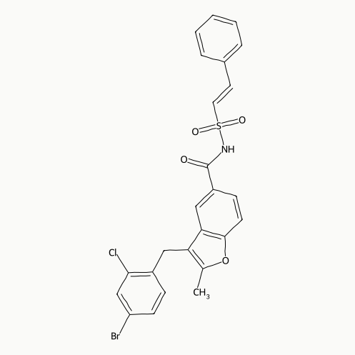 Cc1oc2ccc(C(=O)NS(=O)(=O)/C=C/c3ccccc3)cc2c1Cc1ccc(Br)cc1Cl